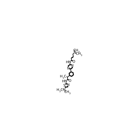 C[C@H](C(=O)Nc1ncc(N(C)C)s1)c1cccc(-c2cnc(NC(=O)/C=C/CN(C)C)cn2)c1